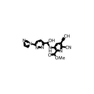 C#Cc1cc(NC(O)c2ccc(-n3ccnc3)nn2)c(C(=O)OC)nc1C#N